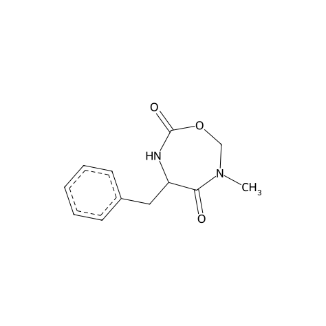 CN1COC(=O)NC(Cc2ccccc2)C1=O